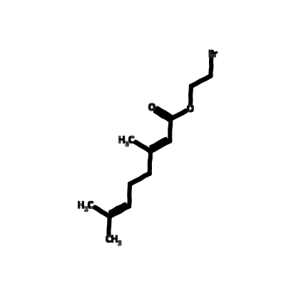 CC(C)=CCC/C(C)=C/C(=O)OCCBr